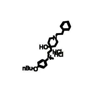 CCCCOc1ccc(N(C)CCC2(O)CCN(CCc3ccccc3)CC2)cc1.Cl.Cl